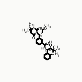 COCC[C@H](c1cccc(C(=O)N[C@@H]2c3ccccc3OC(C)(C)[C@H]2O)c1)N1C(=N)NC(C)(C)CC1=O